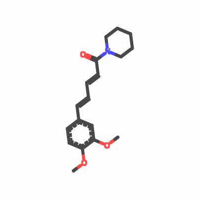 COc1ccc(C=CC=CC(=O)N2CCCCC2)cc1OC